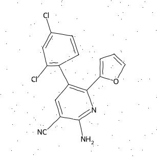 N#Cc1cc(-c2ccc(Cl)cc2Cl)c(-c2ccco2)nc1N